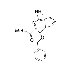 COC(=O)c1nc(N)c2sccc2c1OCc1ccccc1